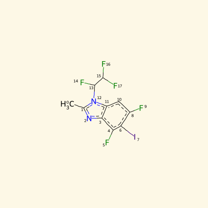 Cc1nc2c(F)c(I)c(F)cc2n1C(F)C(F)F